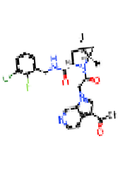 CCC(=O)c1cn(CC(=O)N2[C@@H]3C[C@@H]3C[C@H]2C(=O)NCc2cccc(Cl)c2F)c2cnccc12